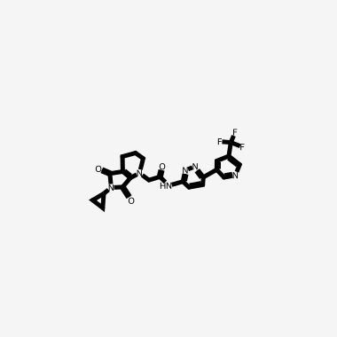 O=C(CN1CCCC2=C1C(=O)N(C1CC1)C2=O)Nc1ccc(-c2cncc(C(F)(F)F)c2)nn1